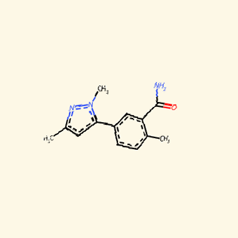 Cc1cc(-c2ccc(C)c(C(N)=O)c2)n(C)n1